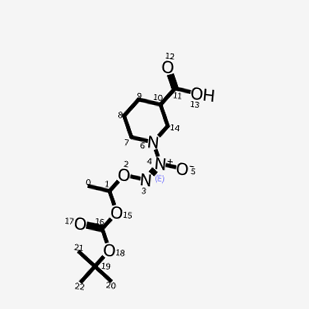 CC(O/N=[N+](/[O-])N1CCCC(C(=O)O)C1)OC(=O)OC(C)(C)C